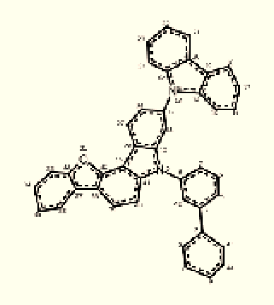 c1ccc(-c2cccc(-n3c4cc(-n5c6ccccc6c6ccccc65)ccc4c4c5oc6ccccc6c5ccc43)c2)cc1